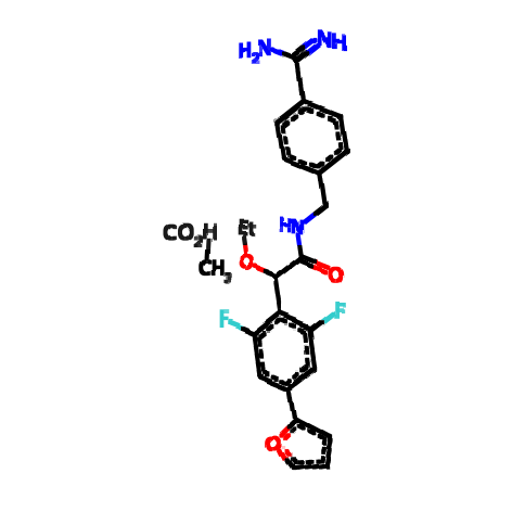 CC(=O)O.CCOC(C(=O)NCc1ccc(C(=N)N)cc1)c1c(F)cc(-c2ccco2)cc1F